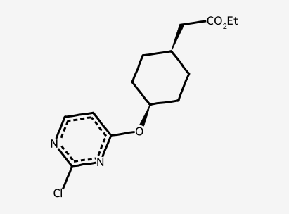 CCOC(=O)C[C@H]1CC[C@@H](Oc2ccnc(Cl)n2)CC1